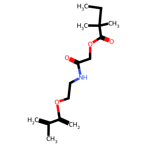 C=C(C)C(=C)OCCNC(=O)COC(=O)C(C)(C)CC